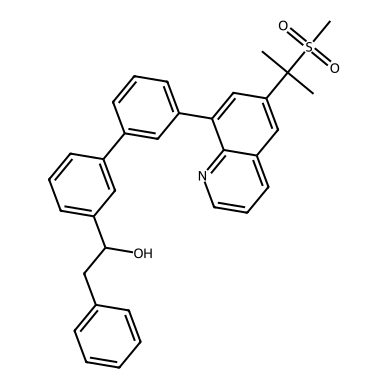 CC(C)(c1cc(-c2cccc(-c3cccc(C(O)Cc4ccccc4)c3)c2)c2ncccc2c1)S(C)(=O)=O